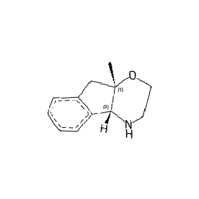 C[C@]12Cc3ccccc3[C@H]1NCCO2